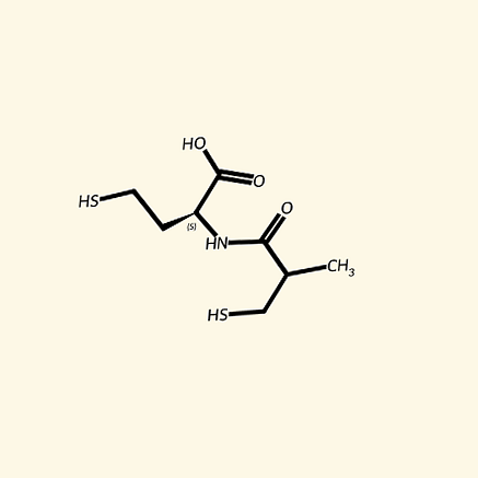 CC(CS)C(=O)N[C@@H](CCS)C(=O)O